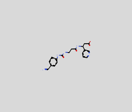 NN=Cc1ccc(NC(=O)NCCC(=O)NC(CC(=O)O)c2cccnc2)cc1